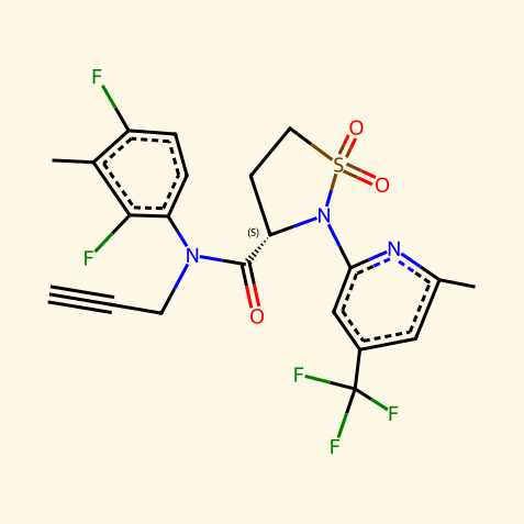 C#CCN(C(=O)[C@@H]1CCS(=O)(=O)N1c1cc(C(F)(F)F)cc(C)n1)c1ccc(F)c(C)c1F